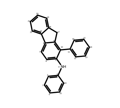 c1ccc(Nc2ccc3c(c2-c2ccccc2)Cc2ccccc2-3)cc1